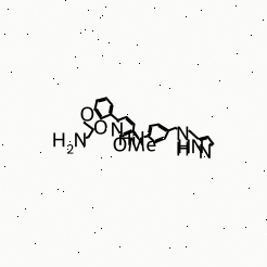 COc1nc(-c2cccc3c2OC(CN)CO3)ccc1Nc1ccc(CNCc2ccn[nH]2)cc1